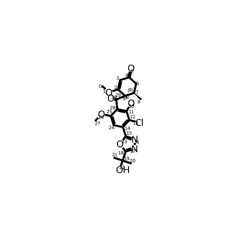 COC1=CC(=O)C[C@@H](C)[C@]12Oc1c(Cl)c(-c3nnc(C(C)(C)O)o3)cc(OC)c1C2=O